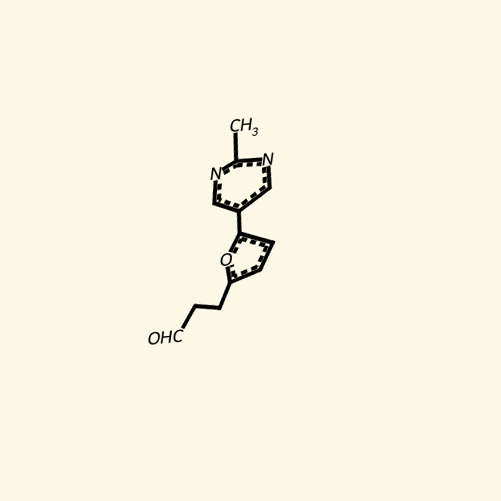 Cc1ncc(-c2ccc(CCC=O)o2)cn1